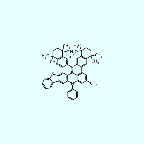 Cc1cc2c3c(c1)N(c1ccccc1)c1cc4c(cc1B3N(c1ccc3c(c1)C(C)(C)CCC3(C)C)c1cc3c(cc1-2)C(C)(C)CCC3(C)C)sc1ccccc14